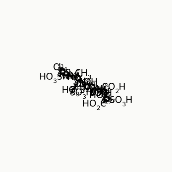 Cc1cc(N=Nc2c(S(=O)(=O)O)cc3c(S(=O)(=O)O)c(N=Nc4c(C(=O)O)nn(-c5cc(C(=O)O)cc(S(=O)(=O)O)c5)c4O)ccc3c2O)c(OCCCS(=O)(=O)O)cc1N=Nc1nc2c(S(=O)(=O)O)cc(Cl)cc2s1